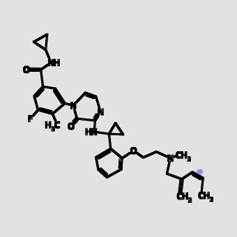 C=C(/C=C\C)CN(C)CCOc1ccccc1C1(Nc2nccn(-c3cc(C(=O)NC4CC4)cc(F)c3C)c2=O)CC1